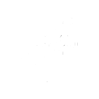 O=C(O)[C@@](F)(CCc1ccc(F)c(Oc2ccccc2)c1)[C@H](c1ccc(Cl)cc1)C1CC1